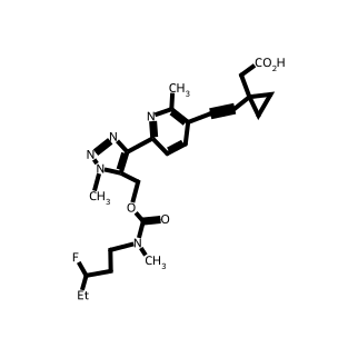 CCC(F)CCN(C)C(=O)OCc1c(-c2ccc(C#CC3(CC(=O)O)CC3)c(C)n2)nnn1C